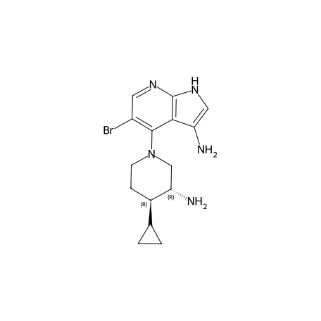 Nc1c[nH]c2ncc(Br)c(N3CC[C@H](C4CC4)[C@@H](N)C3)c12